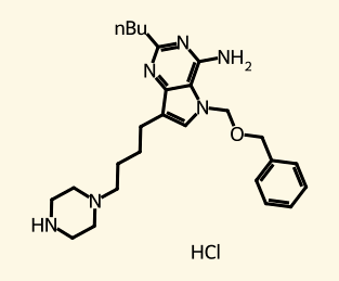 CCCCc1nc(N)c2c(n1)c(CCCCN1CCNCC1)cn2COCc1ccccc1.Cl